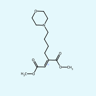 COC(=O)/C=C(\CCCCN1CCOCC1)C(=O)OC